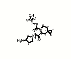 NC1CCN(NC(=O)[C@@H]2CC3(CCN2C(=O)NOS(=O)(=O)O)CC3)C1